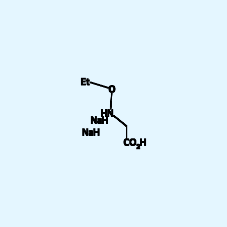 CCONCC(=O)O.[NaH].[NaH]